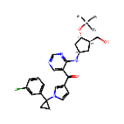 CC(C)[Si](O[C@H]1C[C@H](Nc2ncncc2C(=O)c2ccn(C3(c4cccc(Cl)c4)CC3)c2)C[C@@H]1CO)(C(C)C)C(C)C